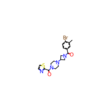 Cc1cc(C(=O)N2CC(N3CCN(C(=O)c4nccs4)CC3)C2)ccc1Br